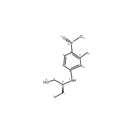 CC[C@@H](CO)Nc1ccc([N+](=O)[O-])c(C)n1